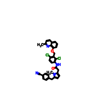 Cc1ccc2cccc(OCc3c(Cl)ccc(NC(=O)Cc4ccc(Cc5ccc(C#N)cc5)n4C)c3Cl)c2n1